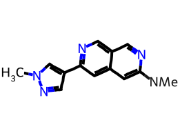 CNc1cc2cc(-c3cnn(C)c3)ncc2cn1